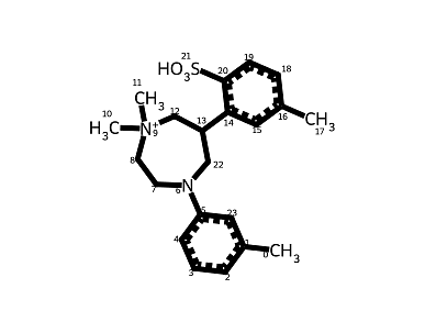 Cc1cccc(N2CC[N+](C)(C)CC(c3cc(C)ccc3S(=O)(=O)O)C2)c1